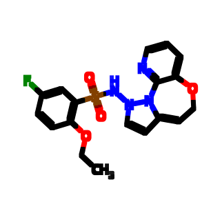 CCOc1ccc(F)cc1S(=O)(=O)NN1C=CC2=CCOc3cccnc3N21